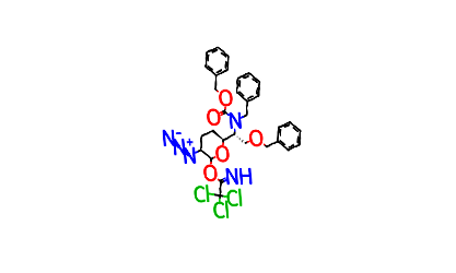 [N-]=[N+]=NC1CC[C@@H]([C@@H](COCc2ccccc2)N(Cc2ccccc2)C(=O)OCc2ccccc2)OC1OC(=N)C(Cl)(Cl)Cl